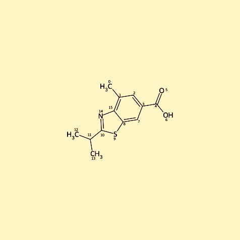 Cc1cc(C(=O)O)cc2sc(C(C)C)nc12